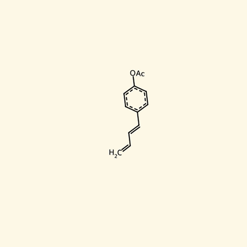 C=CC=Cc1ccc(OC(C)=O)cc1